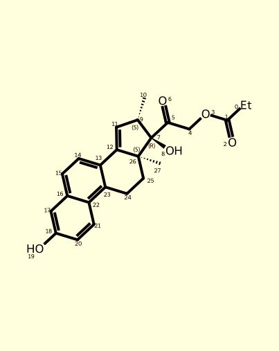 CCC(=O)OCC(=O)[C@@]1(O)[C@@H](C)C=C2c3ccc4cc(O)ccc4c3CC[C@@]21C